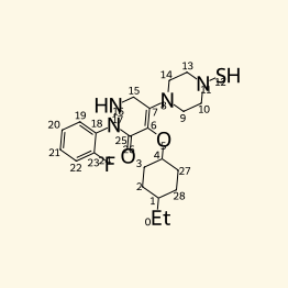 CCC1CCC(OC2=C(N3CCN(S)CC3)CNN(c3ccccc3F)C2=O)CC1